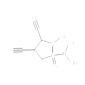 C#CC1CP(=O)(N(C)C)N(C)C1C#C